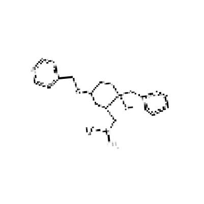 CN(C)CC1CC(OCc2ccccc2)CCC1(O)Cc1ccccc1